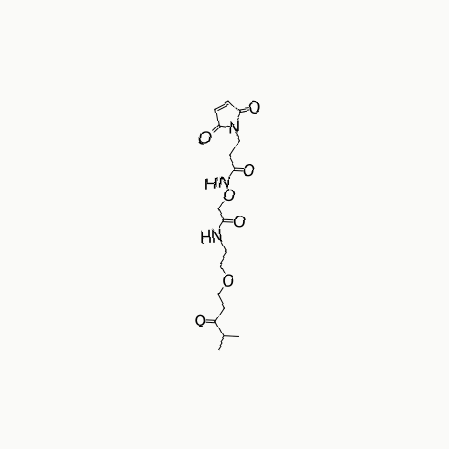 CC(C)C(=O)CCOCCNC(=O)CONC(=O)CCN1C(=O)C=CC1=O